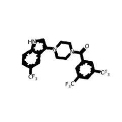 O=C(c1cc(C(F)(F)F)cc(C(F)(F)F)c1)N1CCN(c2[c][nH]c3ccc(C(F)(F)F)cc23)CC1